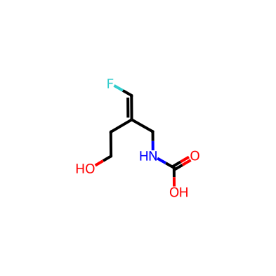 O=C(O)NC/C(=C/F)CCO